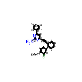 COc1ccc(-c2ccccc2C#Cc2cc(-c3ccccc3)nc(N)n2)cc1Cl